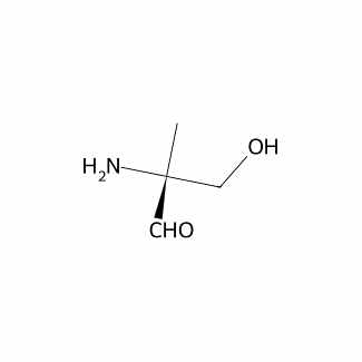 C[C@](N)(C=O)CO